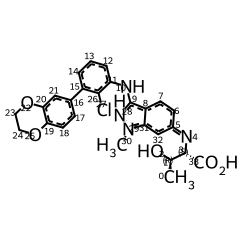 C[C@@H](O)[C@H](N=c1ccc2c(Nc3cccc(-c4ccc5c(c4)OCCO5)c3Cl)[nH]n(C)c-2c1)C(=O)O